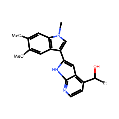 CCC(O)c1ccnc2[nH]c(-c3cn(C)c4cc(OC)c(OC)cc34)cc12